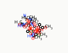 COc1ccc(C(OC[C@@H]2O[C@@H](n3cc(C)c(=O)[nH]c3=O)C[C@@H]2C(OP(=O)(O)Oc2ccccc2Cl)[C@@H]2O[C@@H](n3cc(C)c(=O)[nH]c3=O)C[C@@H]2OP(=O)(OCC[C@H]2O[C@@H](n3cc(C)c(=O)[nH]c3=O)C[C@@H]2OP(OCCC#N)N(C(C)C)C(C)C)Oc2ccccc2Cl)(c2ccccc2)c2ccc(OC)cc2)cc1